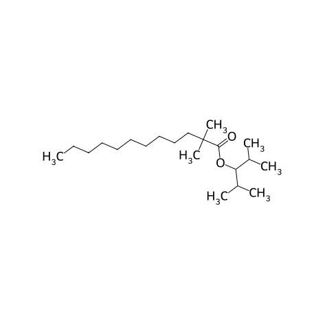 CCCCCCCCCCC(C)(C)C(=O)OC(C(C)C)C(C)C